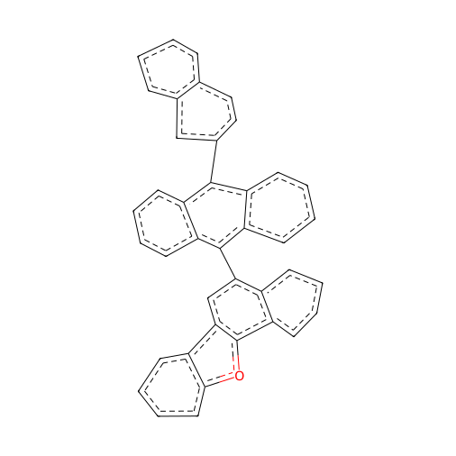 c1ccc2cc(-c3c4ccccc4c(-c4cc5c6ccccc6oc5c5ccccc45)c4ccccc34)ccc2c1